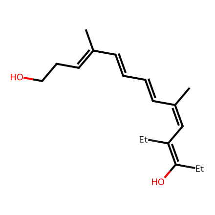 CCC(O)=C(C=C(C)C=CC=CC(C)=CCCO)CC